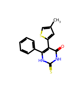 Cc1csc(-c2c(-c3ccccc3)[nH]c(=S)[nH]c2=O)c1